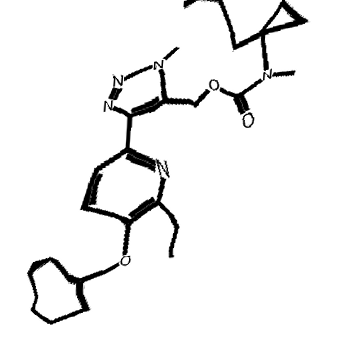 CCCC1(N(C)C(=O)OCc2c(-c3ccc(OC4CCCCC4)c(CC)n3)nnn2C)CC1